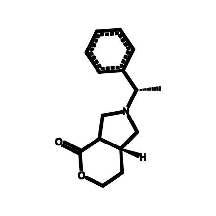 C[C@@H](c1ccccc1)N1CC2C(=O)OCC[C@H]2C1